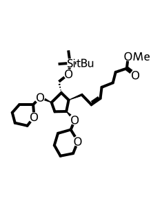 COC(=O)CCC/C=C\C[C@@H]1[C@@H](CO[Si](C)(C)C(C)(C)C)[C@H](OC2CCCCO2)C[C@@H]1OC1CCCCO1